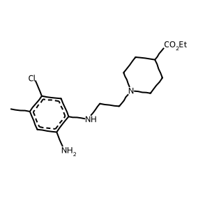 CCOC(=O)C1CCN(CCNc2cc(Cl)c(C)cc2N)CC1